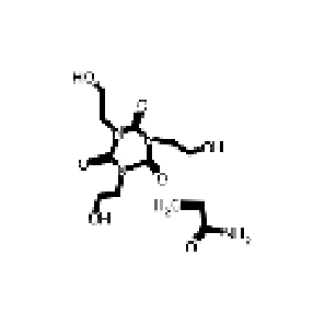 C=CC(N)=O.O=c1n(CCO)c(=O)n(CCO)c(=O)n1CCO